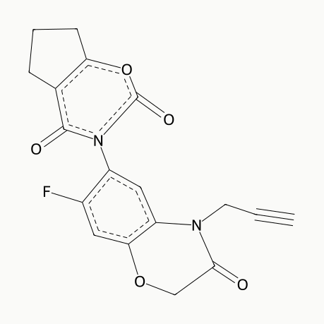 C#CCN1C(=O)COc2cc(F)c(-n3c(=O)oc4c(c3=O)CCC4)cc21